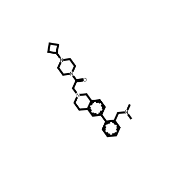 CN(C)Cc1ccccc1-c1ccc2c(c1)CCN(CC(=O)N1CCN(C3CCC3)CC1)C2